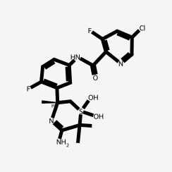 CC1(C)C(N)=N[C@](C)(c2cc(NC(=O)c3ncc(Cl)cc3F)ccc2F)CS1(O)O